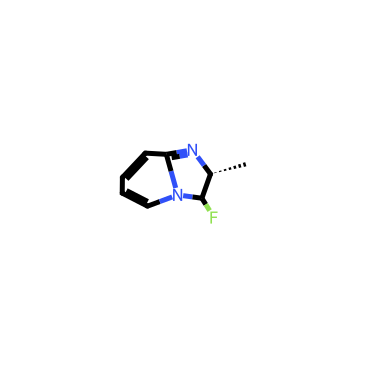 C[C@H]1N=C2C=CC=CN2C1F